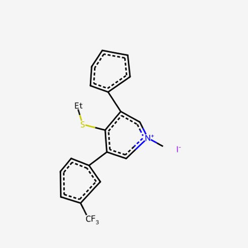 CCSc1c(-c2ccccc2)c[n+](C)cc1-c1cccc(C(F)(F)F)c1.[I-]